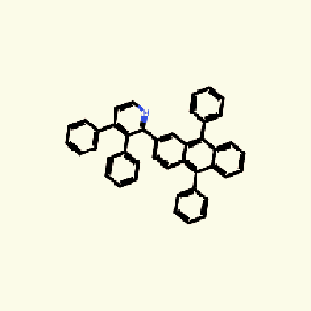 c1ccc(-c2ccnc(-c3ccc4c(-c5ccccc5)c5ccccc5c(-c5ccccc5)c4c3)c2-c2ccccc2)cc1